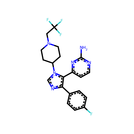 Nc1nccc(-c2c(-c3ccc(F)cc3)ncn2C2CCN(CC(F)(F)F)CC2)n1